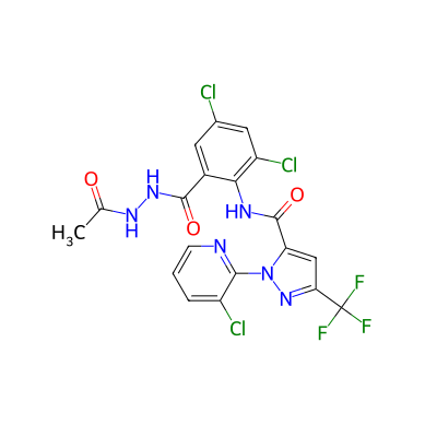 CC(=O)NNC(=O)c1cc(Cl)cc(Cl)c1NC(=O)c1cc(C(F)(F)F)nn1-c1ncccc1Cl